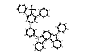 CC1(C)c2ccccc2-c2nc(-c3cccc(-n4c5ccccc5c5c6c7ccccc7n(-c7ccccc7)c6ccc54)c3)nc(-c3ccccc3)c21